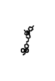 C=CC(=O)Oc1ccc(C=Cc2ccc3c(c2)CC(C)N3c2ccc(C)cc2)cc1